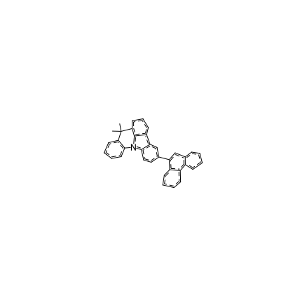 CC1(C)c2ccccc2-n2c3ccc(-c4cc5ccccc5c5ccccc45)cc3c3cccc1c32